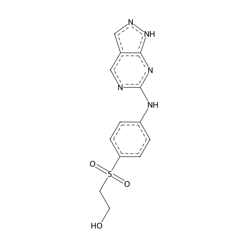 O=S(=O)(CCO)c1ccc(Nc2ncc3cn[nH]c3n2)cc1